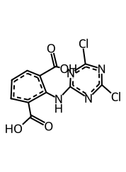 O=C(O)c1cccc(C(=O)O)c1Nc1nc(Cl)nc(Cl)n1